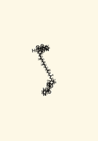 CC1=C(/C=C/C(C)=C/C=C/C(C)=C/C=C/C=C(C)/C=C/C=C(C)/C=C/C2=CC(=O)[C@H](C(C)(NC(=O)c3cccnc3)C(=O)O)CC2)C(C)(C)C[C@H](OC(=O)CNC(=O)c2cccnc2)C1=O